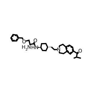 CC(C)C(=O)c1ccc2c(c1)CCN(CC[C@H]1CC[C@H](NC(=O)[C@@H](N)COCc3ccccc3)CC1)CC2